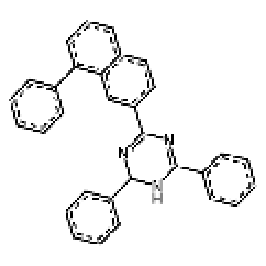 c1ccc(C2=NC(c3ccc4cccc(-c5ccccc5)c4c3)=NC(c3ccccc3)N2)cc1